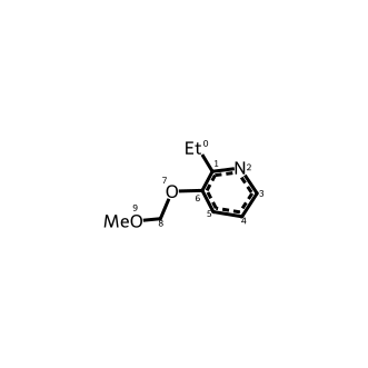 CCc1ncccc1OCOC